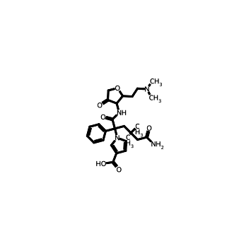 CN(C)CCC1OCC(=O)C1NC(=O)C(CC(C)(C)CC(N)=O)(c1ccccc1)n1ccc(C(=O)O)c1